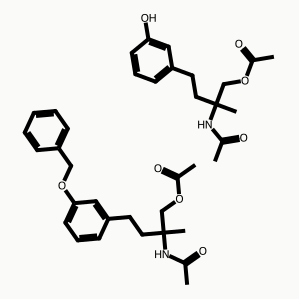 CC(=O)NC(C)(CCc1cccc(O)c1)COC(C)=O.CC(=O)NC(C)(CCc1cccc(OCc2ccccc2)c1)COC(C)=O